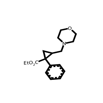 CCOC(=O)C1(c2ccccc2)CC1CN1CCOCC1